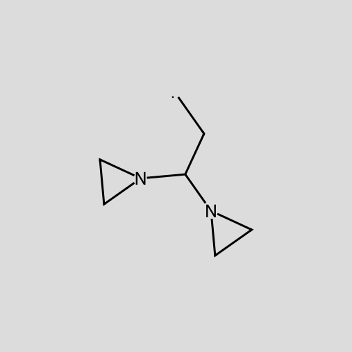 [CH2]CC(N1CC1)N1CC1